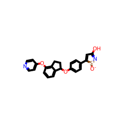 [O-][s+]1nc(O)cc1-c1ccc(OC2CCc3c(Oc4ccncc4)cccc32)cc1